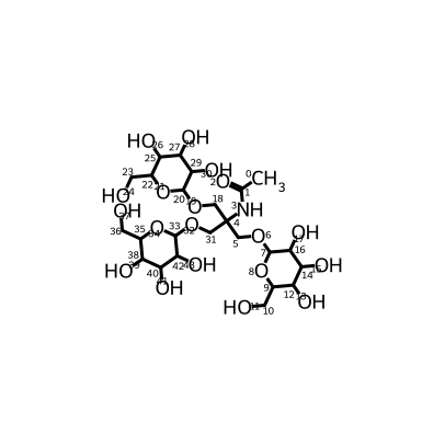 CC(=O)NC(COC1OC(CO)C(O)C(O)C1O)(COC1OC(CO)C(O)C(O)C1O)COC1OC(CO)C(O)C(O)C1O